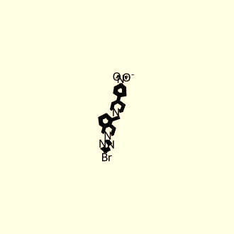 O=[N+]([O-])c1ccc(C2CCN(Cc3cccc4c3CCN(c3ncc(Br)cn3)C4)CC2)cc1